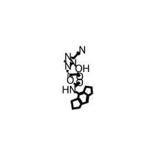 N#Cc1ncn(C[C@@H](OC(=O)Nc2c3c(cc4c2CCC4)CCC3)C(=O)O)n1